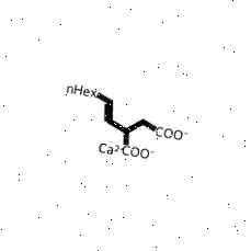 CCCCCCC=CC(CC(=O)[O-])C(=O)[O-].[Ca+2]